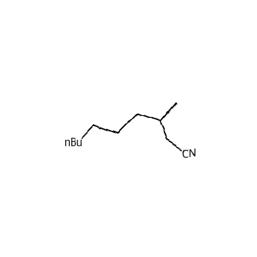 CCCCCCCC(C)CC#N